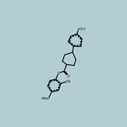 CCCCCCCCCc1ccc(OC(=O)C2CCC(c3ccc(CCCCCCCC)cc3)CC2)c(C#N)c1